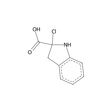 O=C(O)C1(Cl)Cc2ccccc2N1